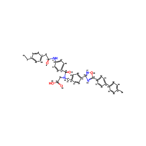 CCc1ccc(CC(=O)Nc2ccc(C(=O)N(CC(=O)O)Cc3ccc(-c4noc(-c5ccc(-c6ccc(C)cc6)cc5)n4)cc3)cc2)cc1